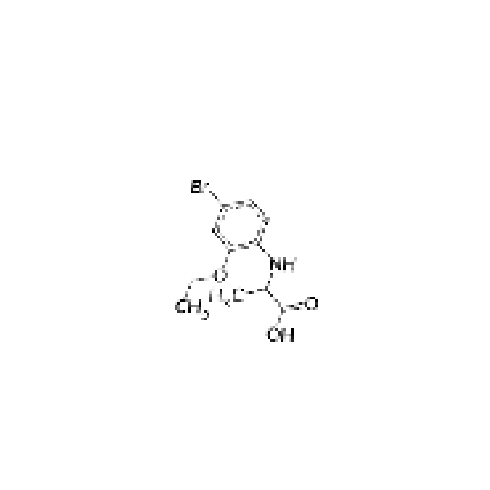 CCOc1cc(Br)ccc1NC(C)C(=O)O